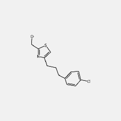 [O]Cc1nc(CCCc2ccc(Cl)cc2)cs1